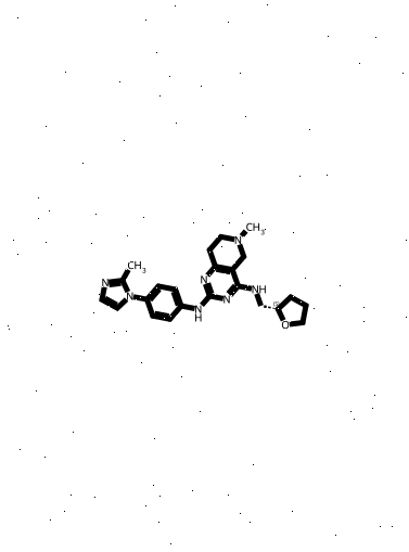 Cc1nccn1-c1ccc(Nc2nc3c(c(NC[C@@H]4CCCO4)n2)CN(C)CC3)cc1